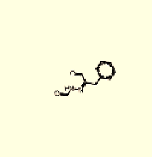 O=CN/N=C(\C=O)Cc1ccccc1